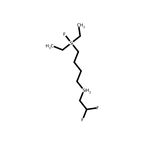 CC[Si](F)(CC)CCCC[SiH2]CC(F)F